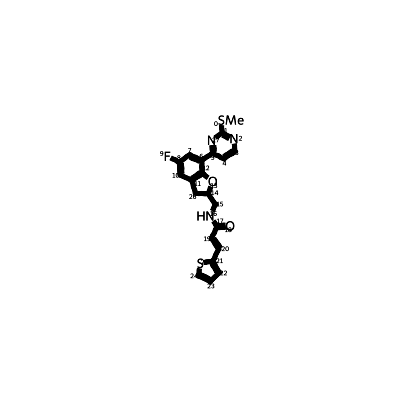 CSc1nccc(-c2cc(F)cc3c2OC(CNC(=O)C=Cc2cccs2)C3)n1